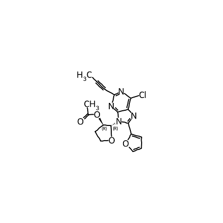 CC#Cc1nc(Cl)c2nc(-c3ccco3)n([C@@H]3OCC[C@H]3OC(C)=O)c2n1